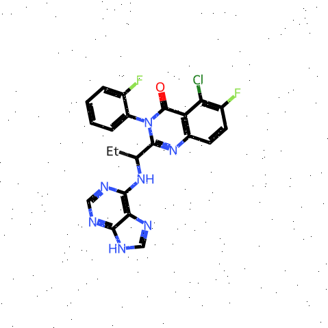 CCC(Nc1ncnc2[nH]cnc12)c1nc2ccc(F)c(Cl)c2c(=O)n1-c1ccccc1F